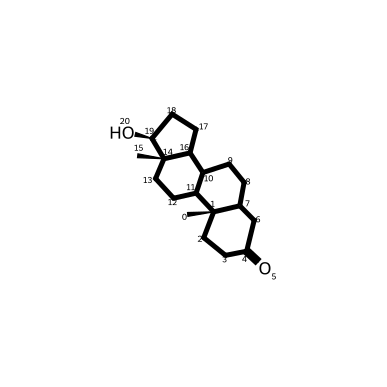 C[C@]12CCC(=O)CC1CCC1C2CC[C@@]2(C)C1CC[C@@H]2O